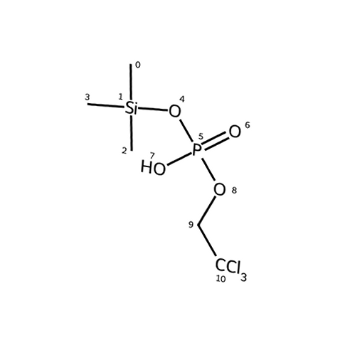 C[Si](C)(C)OP(=O)(O)OCC(Cl)(Cl)Cl